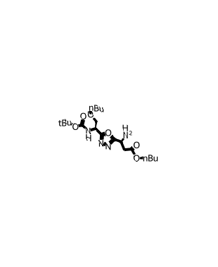 CCCCOC[C@H](NC(=O)OC(C)(C)C)c1nnc([C@@H](N)CC(=O)OCCCC)o1